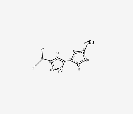 CC(I)c1nnc(-c2cc(C(C)(C)C)no2)s1